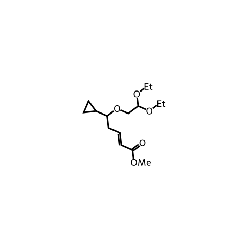 CCOC(COC(C/C=C/C(=O)OC)C1CC1)OCC